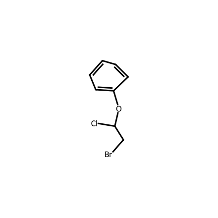 ClC(CBr)Oc1ccccc1